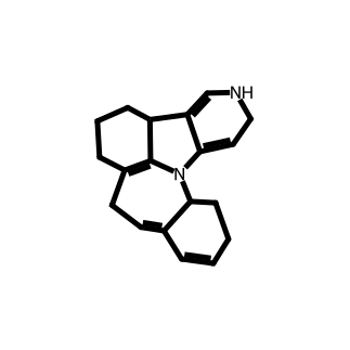 C1=CC2=CCC3=C4C(CCC3)C3=CNCC=C3N4C2CC1